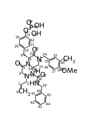 C=CCN1CC(=O)N2[C@@H](Cc3ccc(OP(=O)(O)O)cc3)C(=O)N(Cc3ccc(OC)c(C)c3)C[C@@H]2N1C(=O)NCc1ccccc1